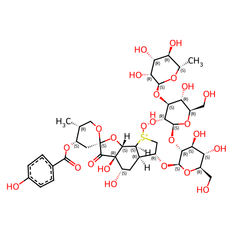 C[C@@H]1CO[C@@]2(C[C@@H]1OC(=O)c1ccc(O)cc1)O[C@@H]1[C@@H]3[C@H](C[C@H](O)[C@]1(O)C2=O)[C@@H](O[C@@H]1O[C@H](CO)[C@@H](O)[C@H](O)[C@H]1O[C@@H]1O[C@H](CO)[C@@H](O)[C@H](O[C@@H]2O[C@@H](C)[C@H](O)[C@@H](O)[C@H]2O)[C@H]1O)C[S+]3[O-]